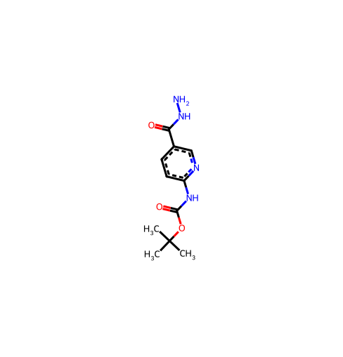 CC(C)(C)OC(=O)Nc1ccc(C(=O)NN)cn1